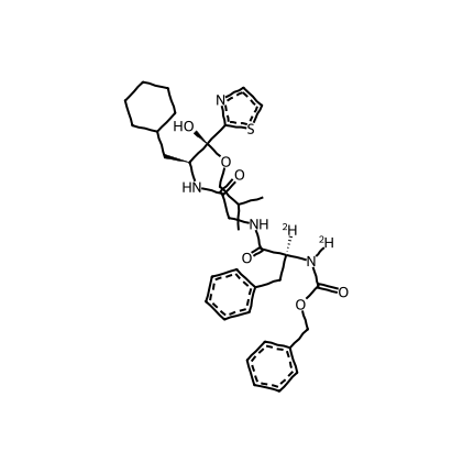 [2H]N(C(=O)OCc1ccccc1)[C@@]([2H])(Cc1ccccc1)C(=O)NCC(=O)N[C@@H](CC1CCCCC1)[C@@](O)(OCC(C)C)c1nccs1